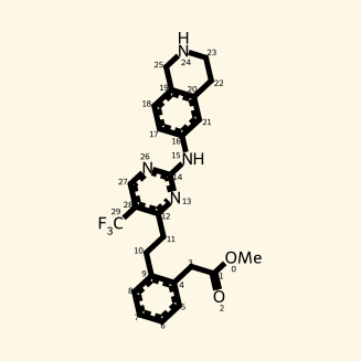 COC(=O)Cc1ccccc1CCc1nc(Nc2ccc3c(c2)CCNC3)ncc1C(F)(F)F